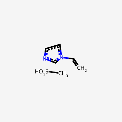 C=Cn1ccnc1.CS(=O)(=O)O